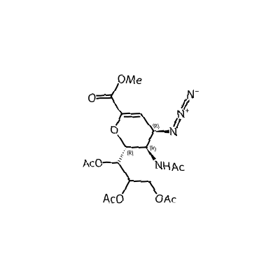 COC(=O)C1=C[C@@H](N=[N+]=[N-])[C@@H](NC(C)=O)[C@H](C(OC(C)=O)C(COC(C)=O)OC(C)=O)O1